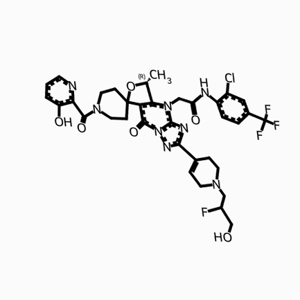 C[C@H]1OC2(CCN(C(=O)c3ncccc3O)CC2)c2c1n(CC(=O)Nc1ccc(C(F)(F)F)cc1Cl)c1nc(C3=CCN(CC(F)CO)CC3)nn1c2=O